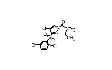 CCN(CC)C(=O)n1cc(Cl)c(S(=O)(=O)c2cc(Cl)ccc2Cl)n1